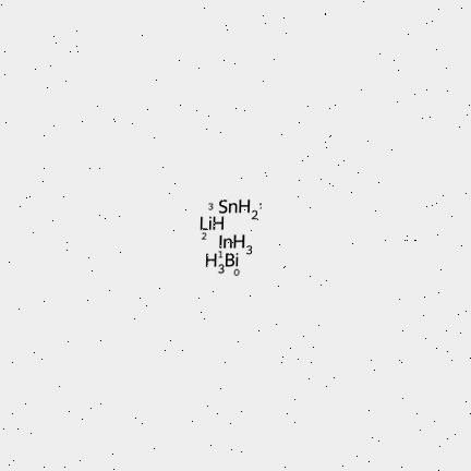 [BiH3].[InH3].[LiH].[SnH2]